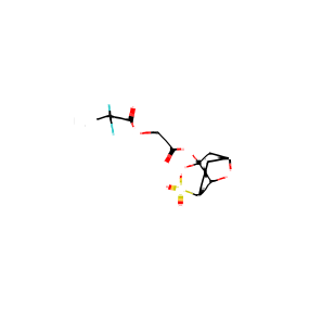 CC(F)(F)C(=O)OCC(=O)OC12CC3CC(C1O3)S(=O)(=O)O2